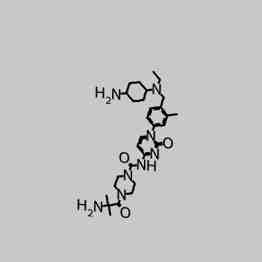 CCN(Cc1ccc(-n2ccc(NC(=O)N3CCN(C(=O)C(C)(C)N)CC3)nc2=O)cc1C)C1CCC(N)CC1